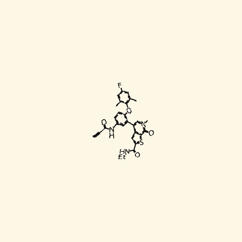 C#CC(=O)Nc1ccc(Oc2c(C)cc(F)cc2C)c(-c2cn(C)c(=O)c3sc(C(=O)NCC)cc23)c1